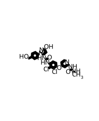 CNC(=O)Nc1cc(Oc2ccc(NC(=O)Nc3cc(O)nn3-c3ccc(CO)cc3)c(Cl)c2Cl)ccn1